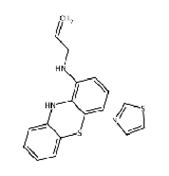 C=CCNc1cccc2c1Nc1ccccc1S2.c1cscn1